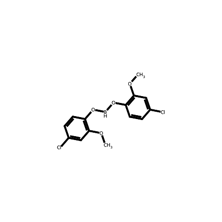 COc1cc(Cl)ccc1OBOc1ccc(Cl)cc1OC